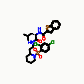 CC(C)C[C@H](NC(=O)c1cc2ccccc2s1)C(=O)NCCC1CCCCN1S(=O)(=O)c1ccc(Cl)cc1Cl